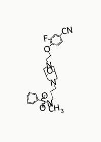 CN(CCCN1CC2CN(CCOc3ccc(C#N)cc3F)CC(C1)O2)S(=O)(=O)c1ccccc1